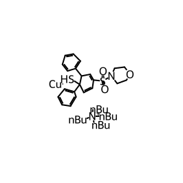 CCCC[N+](CCCC)(CCCC)CCCC.O=S(=O)(C1=CC(c2ccccc2)C(S)(c2ccccc2)C=C1)N1CCOCC1.[Cu]